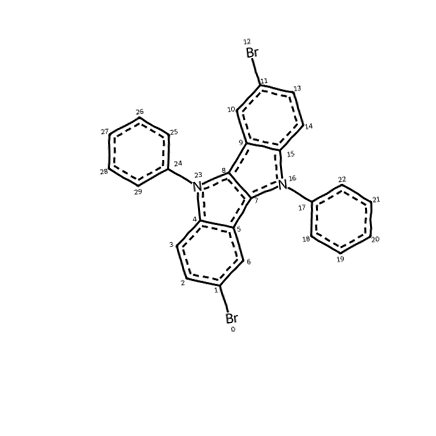 Brc1ccc2c(c1)c1c(c3cc(Br)ccc3n1-c1ccccc1)n2-c1ccccc1